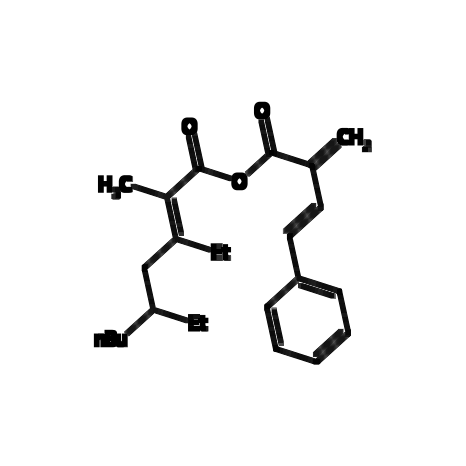 C=C(C=Cc1ccccc1)C(=O)OC(=O)C(C)=C(CC)CC(CC)CCCC